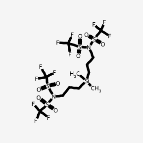 C[Si](C)(CCCN(S(=O)(=O)C(F)(F)F)S(=O)(=O)C(F)(F)F)CCCN(S(=O)(=O)C(F)(F)F)S(=O)(=O)C(F)(F)F